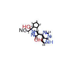 N#CCC(O)(C1CCCC1)n1cc(-c2ncnc3[nH]ccc23)c(O)n1